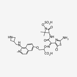 C[n+]1ccc2cc(OCC(O/N=C(\C(=O)N[C@@H]3C(=O)N(OS(=O)(=O)O)C3(C)C)c3nc(N)sc3Cl)C(=O)O)ccc2c1NCC1CNC1